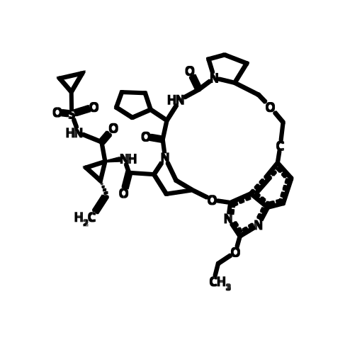 C=C[C@@H]1C[C@]1(NC(=O)C1CC2CN1C(=O)C(C1CCCC1)NC(=O)N1CCCC1COCCc1ccc3nc(OCC)nc(c3c1)O2)C(=O)NS(=O)(=O)C1CC1